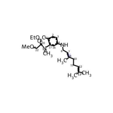 CCOC(=O)c1ccc(NC/C=C(\C)CCC=C(C)C)cc1N(C)C(=O)COC